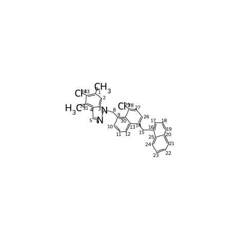 Cc1cc2c(cnn2Cc2cccc3c(Cc4cccc5ccccc45)ccc(Cl)c23)c(C)c1Cl